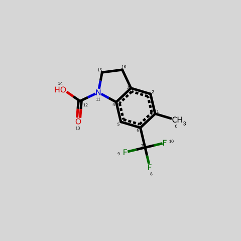 Cc1cc2c(cc1C(F)(F)F)N(C(=O)O)CC2